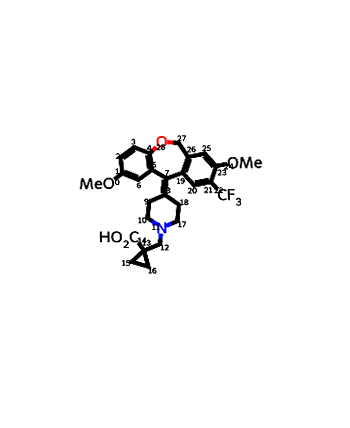 COc1ccc2c(c1)C(=C1CCN(CC3(C(=O)O)CC3)CC1)c1cc(C(F)(F)F)c(OC)cc1CO2